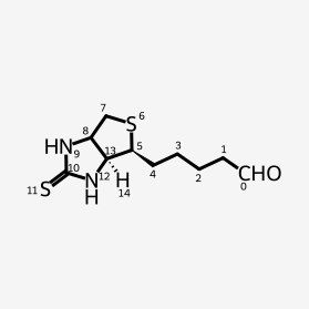 O=CCCCC[C@@H]1SCC2NC(=S)N[C@@H]21